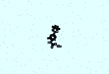 Cc1cc(B2OC(C)(C)C(C)(C)O2)cnc1NC(=O)OC(C)(C)C